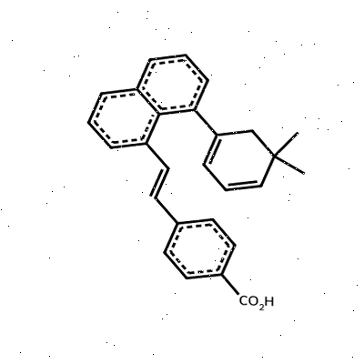 CC1(C)C=CC=C(c2cccc3cccc(C=Cc4ccc(C(=O)O)cc4)c23)C1